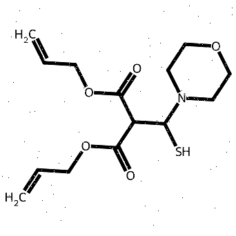 C=CCOC(=O)C(C(=O)OCC=C)C(S)N1CCOCC1